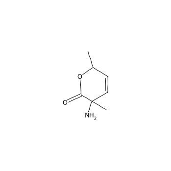 CC1C=CC(C)(N)C(=O)O1